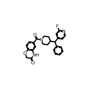 O=C1COc2ccc(C(=O)N3CCC(C(c4ccccc4)c4ccnc(F)c4)CC3)cc2N1